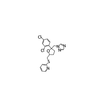 Clc1ccc(C2(Cn3cncn3)CCC(CSc3ccccn3)O2)c(Cl)c1